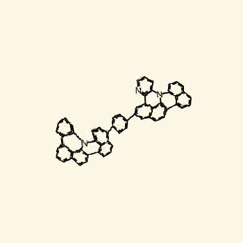 c1ccc2c(c1)-c1cccc3ccc4c(c13)N2c1ccc(-c2ccc(-c3cc5c6c7c(ccc6c3)-c3cccc6cccc(c36)N7c3cccnc3-5)cc2)c2cccc-4c12